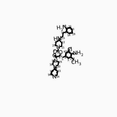 CCc1cc(C[C@@H](OC(=O)N2CCC(NCCc3ccccc3N)CC2)C(=O)N2CCN(c3ccncc3)CC2)cc(Cl)c1N